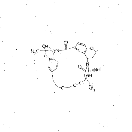 CCC12CCCCCCc3ccc4c(c3)OC(C)(C)CC4NC(=O)c3ccc4c(c3)C(CCO4)N(C(=N)N1)C(=O)C2